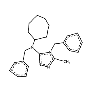 Cc1nnc(N(Cc2ccccc2)C2CCCCCC2)n1Cc1ccccc1